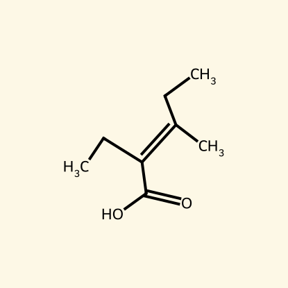 CC/C(C)=C(\CC)C(=O)O